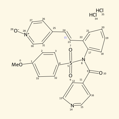 COc1ccc(S(=O)(=O)N(C(=O)c2ccncc2)c2ccccc2/C=C/c2cc[n+]([O-])cc2)cc1.Cl.Cl